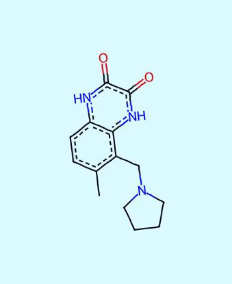 Cc1ccc2[nH]c(=O)c(=O)[nH]c2c1CN1CCCC1